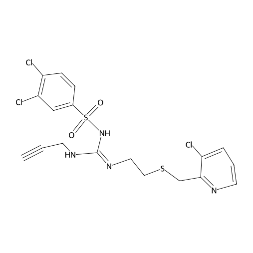 C#CCNC(=NCCSCc1ncccc1Cl)NS(=O)(=O)c1ccc(Cl)c(Cl)c1